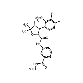 CONC(=O)c1cc(NC(=O)C2OC(C)(C(F)(F)F)C(C)C2c2ccc(F)c(F)c2OC)ccn1